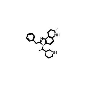 C[C@H]([C@@H]1CCCNC1)n1c(Cc2ccccc2)nc2c3c(ccc21)N[C@@H](C)CC3